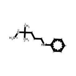 CC(C)(CCCNc1ccccc1)O[SiH3]